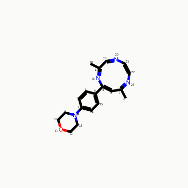 Cc1cc(-c2ccc(N3CCOCC3)cc2)nc(C)cnccn1